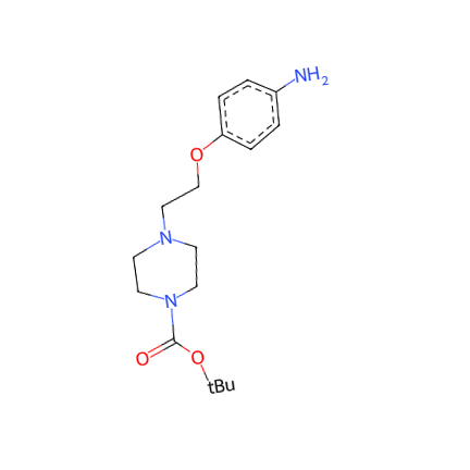 CC(C)(C)OC(=O)N1CCN(CCOc2ccc(N)cc2)CC1